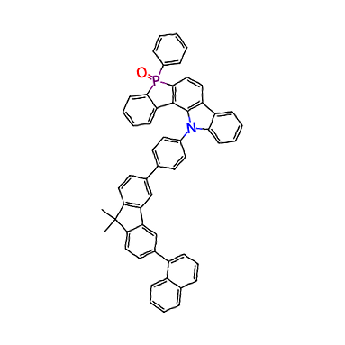 CC1(C)c2ccc(-c3ccc(-n4c5ccccc5c5ccc6c(c54)-c4ccccc4P6(=O)c4ccccc4)cc3)cc2-c2cc(-c3cccc4ccccc34)ccc21